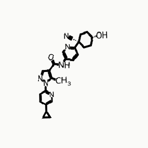 Cc1c(C(=O)Nc2ccc([C@]3(C#N)CC[C@@H](O)CC3)nc2)cnn1-c1ccc(C2CC2)cn1